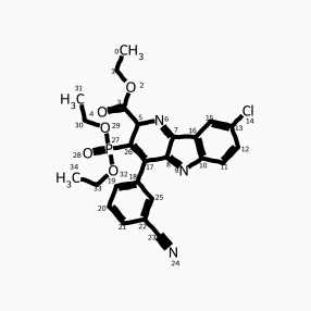 CCOC(=O)C1N=C2C(=Nc3ccc(Cl)cc32)C(c2cccc(C#N)c2)=C1P(=O)(OCC)OCC